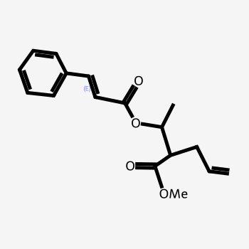 C=CCC(C(=O)OC)C(C)OC(=O)/C=C/c1ccccc1